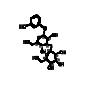 OC[C@H]1O[C@H](C[C@@H]2[C@H](O)[C@@H](Oc3cccc(O)c3)O[C@H](CO)[C@H]2O)[C@@H](O)[C@@H](O)[C@@H]1O